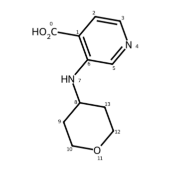 O=C(O)c1ccncc1NC1CCOCC1